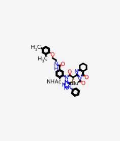 CC(=O)Nc1ccc(C(=O)NCCOc2ccc(C)cc2C)cc1NC(=O)C(Sc1nnnn1-c1ccccc1)c1nc2c(c(=O)n1C(=O)C(C)(C)C)CCCC2